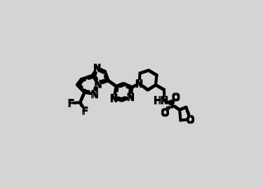 O=S(=O)(NCC1CCCN(c2cc(-c3cnc4ccc(C(F)F)nn34)ncn2)C1)C1COC1